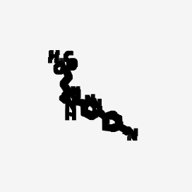 COC(=O)CCc1c[nH]c(-c2ccc(-c3ccc(C#N)cc3)nn2)n1